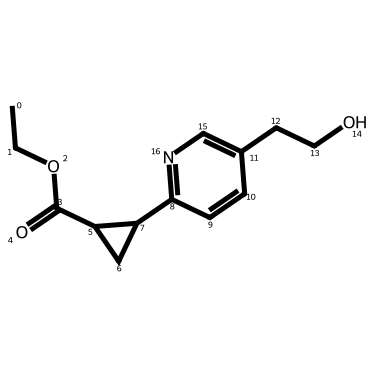 CCOC(=O)C1CC1c1ccc(CCO)cn1